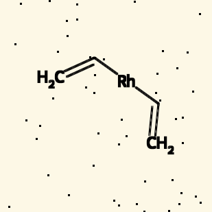 C=[CH][Rh][CH]=C